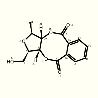 C[C@@H]1O[C@H](CO)[C@H]2OC(=O)c3ccccc3C(=O)O[C@H]21